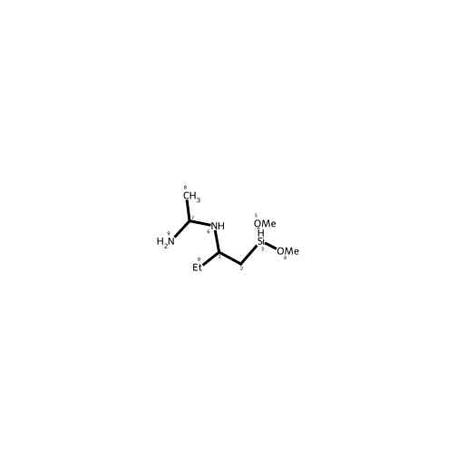 CCC(C[SiH](OC)OC)NC(C)N